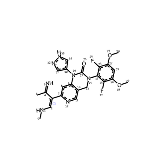 CN/C=C(\C(C)=N)c1cc2c(cn1)CN(c1c(F)c(OC)cc(OC)c1F)C(=O)N2c1cn[nH]c1